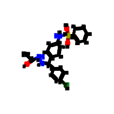 CCC(=O)NN=C(c1ccc(Cl)cc1)c1ccc(NS(=O)(=O)c2ccccc2)cc1